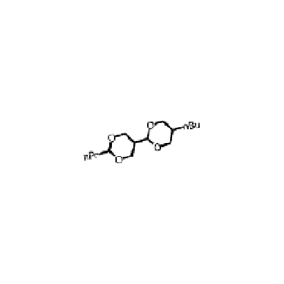 CCCCC1COC(C2COC(CCC)OC2)OC1